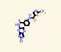 CCn1cc2ncc(N[C@@H](C)c3cccc(NC(=O)c4cnc(C(F)(F)F)s4)c3)nc2n1